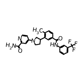 Cc1ccc(C(=O)Nc2cccc(C(F)(F)F)c2)cc1C1CCN(c2ccnc(C(N)=O)c2)C1